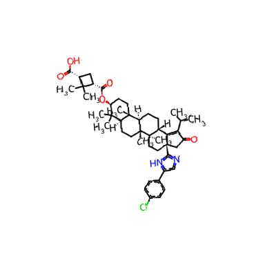 CC(C)C1=C2[C@H]3CC[C@@H]4[C@@]5(C)CC[C@H](OC(=O)[C@H]6C[C@@H](C(=O)O)C6(C)C)C(C)(C)[C@@H]5CC[C@@]4(C)[C@]3(C)CC[C@@]2(c2ncc(-c3ccc(Cl)cc3)[nH]2)CC1=O